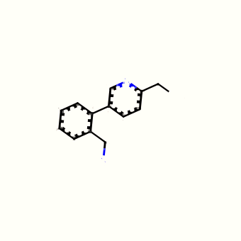 CCc1ccc(-c2ccccc2CN)cn1